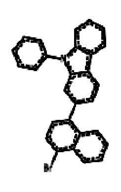 Brc1ccc(-c2ccc3c4ccccc4n(-c4ccccc4)c3c2)c2ccccc12